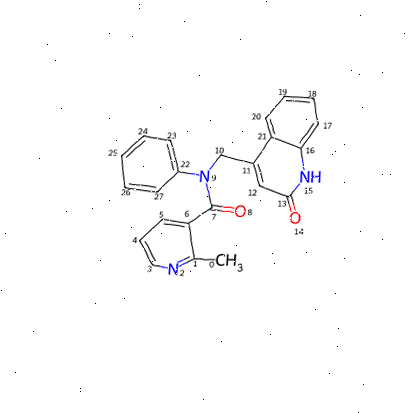 Cc1ncccc1C(=O)N(Cc1cc(=O)[nH]c2ccccc12)c1ccccc1